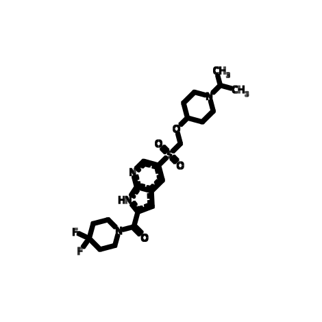 CC(C)N1CCC(OCS(=O)(=O)c2cnc3[nH]c(C(=O)N4CCC(F)(F)CC4)cc3c2)CC1